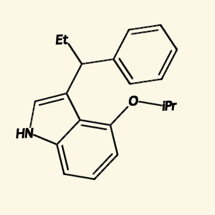 [CH2]CC(c1ccccc1)c1c[nH]c2cccc(OC(C)C)c12